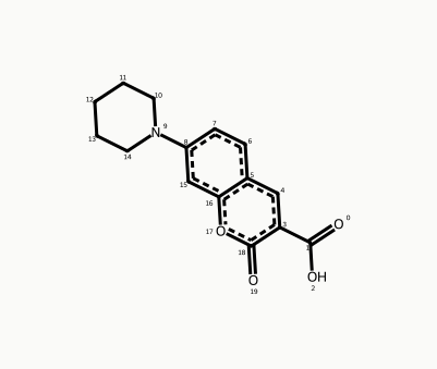 O=C(O)c1cc2ccc(N3CCCCC3)cc2oc1=O